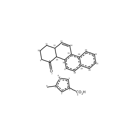 Cc1cc(C(=O)O)cs1.O=C1CCCC2C=Cc3c(ccc4ccccc34)C12